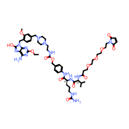 CCOc1nc(N)c2nc(O)n(Cc3ccc(CN4CCN(CCNC(=O)OCc5ccc(NC(=O)[C@H](CCCNC(N)=O)NC(=O)[C@@H](NC(=O)CCOCCOCCOCCN6C(=O)C=CC6=O)C(C)C)cc5)CC4)cc3OC)c2n1